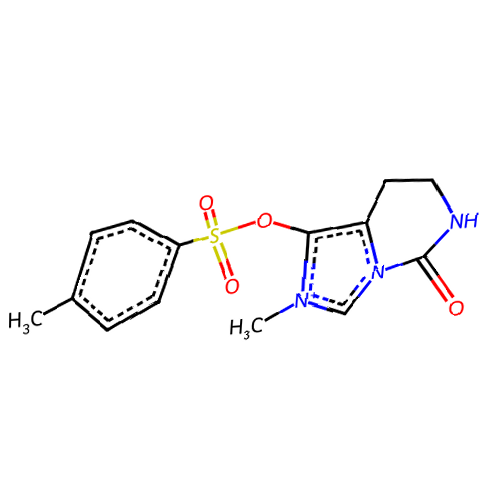 Cc1ccc(S(=O)(=O)Oc2c3n(c[n+]2C)C(=O)NCC3)cc1